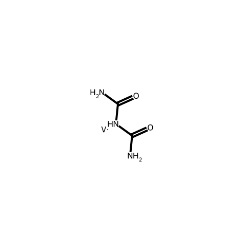 NC(=O)NC(N)=O.[V]